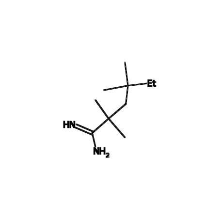 CCC(C)(C)CC(C)(C)C(=N)N